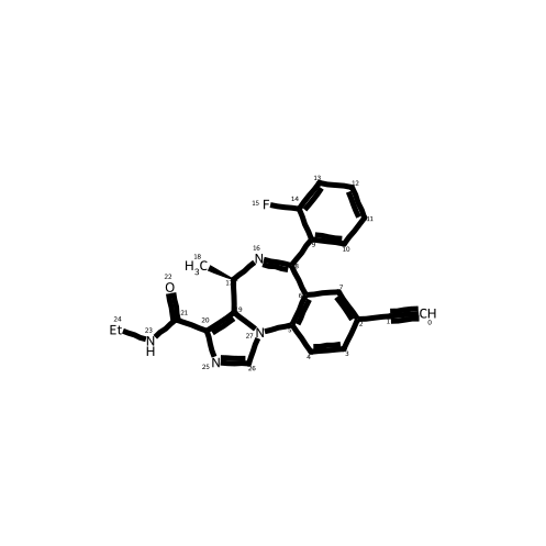 C#Cc1ccc2c(c1)C(c1ccccc1F)=N[C@H](C)c1c(C(=O)NCC)ncn1-2